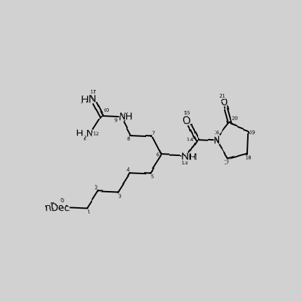 CCCCCCCCCCCCCCCC(CCNC(=N)N)NC(=O)N1CCCC1=O